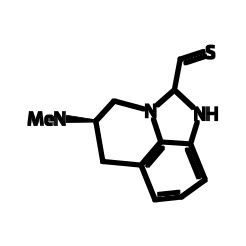 CN[C@@H]1Cc2cccc3c2N(C1)C(C=S)N3